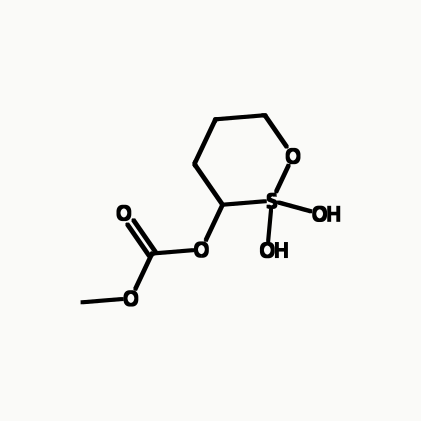 COC(=O)OC1CCCOS1(O)O